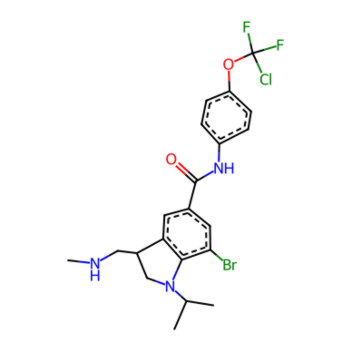 CNCC1CN(C(C)C)c2c(Br)cc(C(=O)Nc3ccc(OC(F)(F)Cl)cc3)cc21